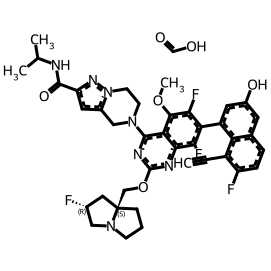 C#Cc1c(F)ccc2cc(O)cc(-c3c(F)c(OC)c4c(N5CCn6nc(C(=O)NC(C)C)cc6C5)nc(OC[C@@]56CCCN5C[C@H](F)C6)nc4c3F)c12.O=CO